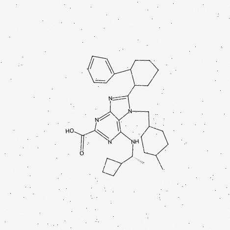 CC1CCC(Cn2c(C3CCCCC3c3ccccc3)nc3nc(C(=O)O)nc(N[C@H](C)C4CCC4)c32)CC1